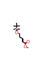 COC(=O)C=CCCO[Si](C)(C)C(C)(C)C